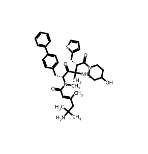 C/C(=C\C(=O)N(C)[C@H](Cc1ccc(-c2ccccc2)cc1)C(=O)C(C)(N)[C@H](Cc1cccs1)C(=O)N1CCC(O)CC1)CC(C)(C)N